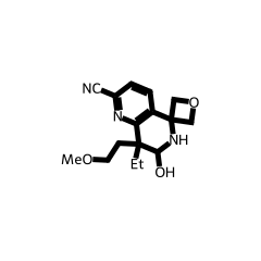 CCC1(CCOC)c2nc(C#N)ccc2C2(COC2)NC1O